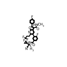 CNC(=O)c1c(-c2ccc(F)cc2)oc2nc(CCC(F)(F)F)c(-c3cc(C(=O)NC(C)(C#N)C4CC4)ccc3F)cc12